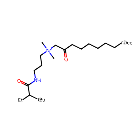 CCCCCCCCCCCCCCCCC(=O)C[N+](C)(C)CCCNC(=O)C(CC)C(C)(C)C